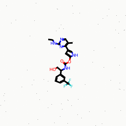 CCNc1ncc(C)c(-c2c[nH]c(OC(=O)NC(CO)c3cccc(C(F)(F)F)c3)c2)n1